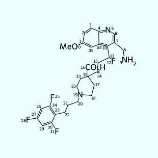 COc1ccc2ncc(CN)c(C(F)CCC3(C(=O)O)CCN(CCCc4c(F)cc(F)cc4F)CC3)c2c1